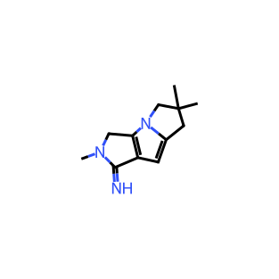 CN1Cc2c(cc3n2CC(C)(C)C3)C1=N